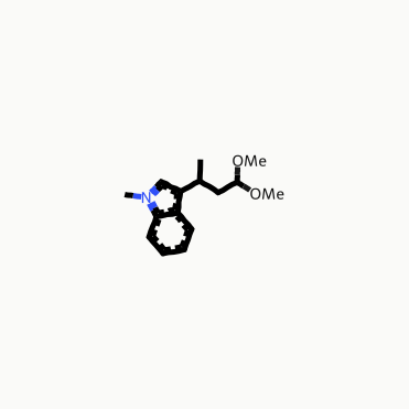 COC(CC(C)c1cn(C)c2ccccc12)OC